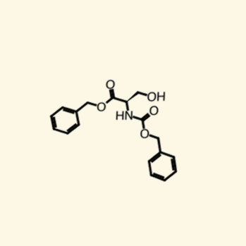 O=C(N[C@H](CO)C(=O)OCc1ccccc1)OCc1ccccc1